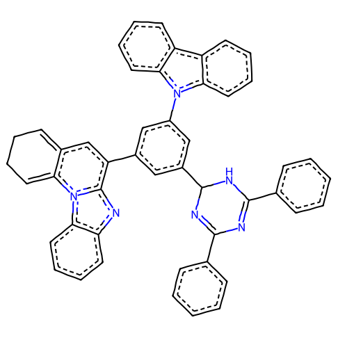 C1=c2cc(-c3cc(C4N=C(c5ccccc5)N=C(c5ccccc5)N4)cc(-n4c5ccccc5c5ccccc54)c3)c3nc4ccccc4n3c2=CCC1